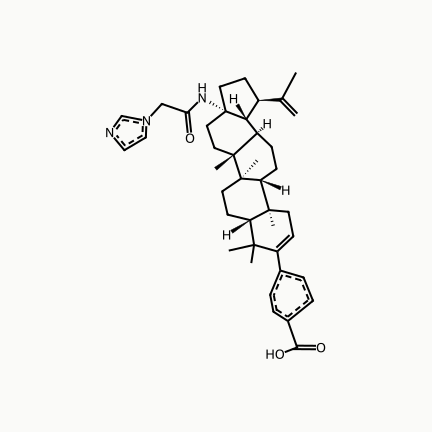 C=C(C)[C@@H]1CC[C@]2(NC(=O)Cn3ccnc3)CC[C@]3(C)[C@H](CC[C@@H]4[C@@]5(C)CC=C(c6ccc(C(=O)O)cc6)C(C)(C)[C@@H]5CC[C@]43C)[C@@H]12